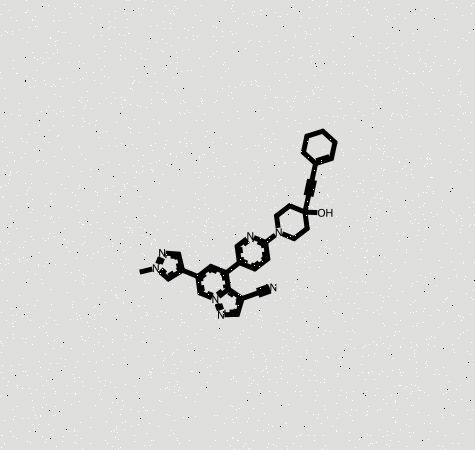 Cn1cc(-c2cc(-c3ccc(N4CCC(O)(C#CC5=CCCCC5)CC4)nc3)c3c(C#N)cnn3c2)cn1